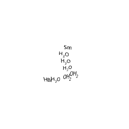 Br.O.O.O.O.O.O.[Sm]